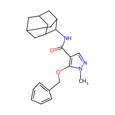 Cn1ncc(C(=O)NC2C3CC4CC(C3)CC2C4)c1OCc1ccccc1